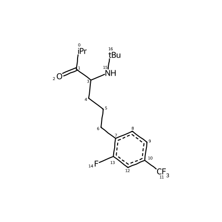 CC(C)C(=O)C(CCCc1ccc(C(F)(F)F)cc1F)NC(C)(C)C